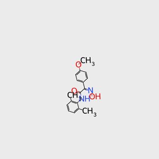 COc1ccc(/C(=N/O)C(=O)Nc2c(C)cccc2C)cc1